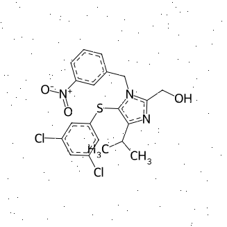 CC(C)c1nc(CO)n(Cc2cccc([N+](=O)[O-])c2)c1Sc1cc(Cl)cc(Cl)c1